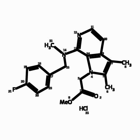 COC(=O)Cn1c(C)c(C)c2ccnc(N(C)Cc3ccc(F)cc3)c21.Cl